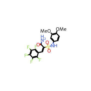 COc1ccc(NS(=O)(=O)/C(=C/c2c(F)c(F)c(F)c(F)c2F)C(N)=O)cc1OC